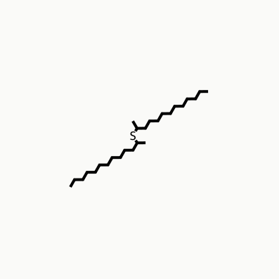 CCCCCCCCCCCC(C)SC(C)CCCCCCCCCCC